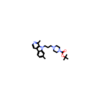 Cc1ccc2c3ccnc(C)c3n(CCCN3CCN(C(=O)OC(C)(C)C)CC3)c2c1